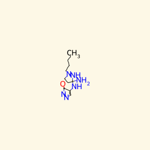 CCCCCN1CCC(N)(NC2=CN=NC2=O)N1